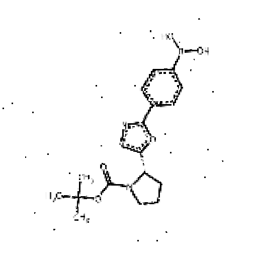 CC(C)(C)OC(=O)N1CCC[C@H]1c1nnc(-c2ccc(B(O)O)cc2)o1